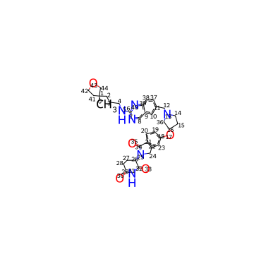 C[C@@]1(CCCNc2ncc3cc(CN4CC[C@H](Oc5ccc6c(c5)CN(C5CCC(=O)NC5=O)C6=O)C4)ccc3n2)CCOC1